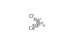 [BH4-].[Ce].[Cl-].[Na+].[Na+]